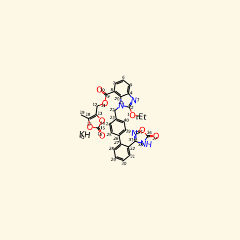 CCOc1nc2cccc(C(=O)OCc3oc(=O)oc3C)c2n1Cc1ccc(-c2ccccc2-c2noc(=O)[nH]2)cc1.[KH]